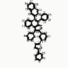 c1ccc(-c2ccc(-c3cccc(-c4sc5c(-c6ccccc6)c(-c6ccc7ccccc7c6)c6ccccc6c5c4-c4ccccc4)c3)s2)cc1